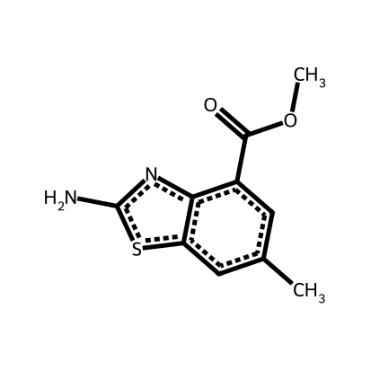 COC(=O)c1cc(C)cc2sc(N)nc12